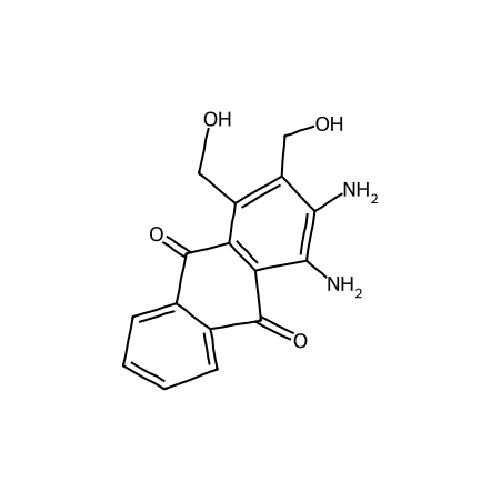 Nc1c(N)c2c(c(CO)c1CO)C(=O)c1ccccc1C2=O